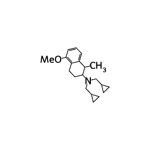 COc1cccc2c1CCC(N(CC1CC1)CC1CC1)C2C